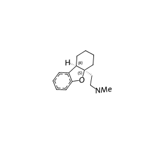 CNCC[C@@]12CCCC[C@@H]1c1ccccc1O2